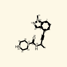 CC(C#Cc1cccc2c1cnn2C)NC(=O)N1CCNCC1